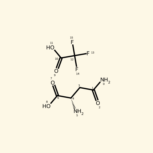 NC(=O)C[C@H](N)C(=O)O.O=C(O)C(F)(F)F